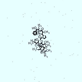 CCC(=O)N(C)[C@H](C(=O)N[C@H](C(=O)N(C)C([C@@H](C)CC)[C@@H](CC(=O)N1CCC[C@H]1[C@H](OC)[C@@H](C)C(=O)N[C@H](C)[C@@H](O)c1ccccc1)OC)C(C)C)C(C)C